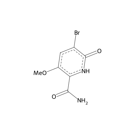 COc1cc(Br)c(=O)[nH]c1C(N)=O